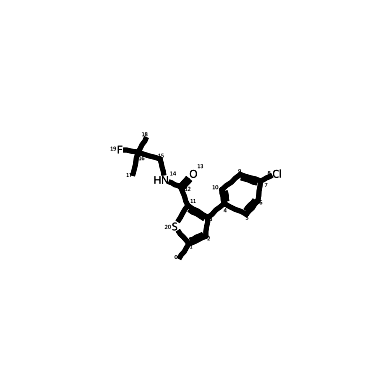 Cc1cc(-c2ccc(Cl)cc2)c(C(=O)NCC(C)(C)F)s1